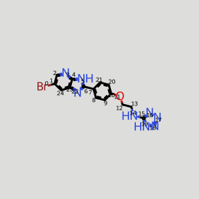 Brc1cnc2[nH]c(-c3ccc(OCCNc4nnn[nH]4)cc3)nc2c1